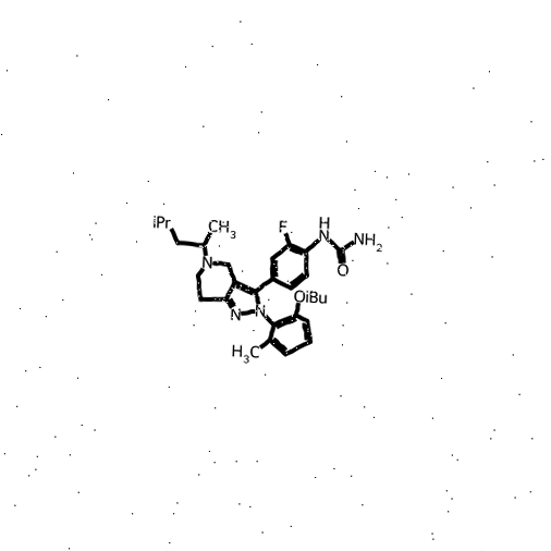 Cc1cccc(OCC(C)C)c1-n1nc2c(c1-c1ccc(NC(N)=O)c(F)c1)CN(C(C)CC(C)C)CC2